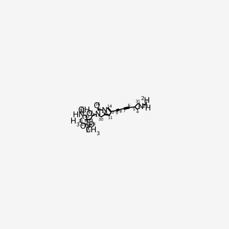 [2H]C([2H])N1CC(C#CC#Cc2cc3n(c2)C(=O)N(CCC(C)(C(=O)NO)S(C)(=O)=O)C3)C1